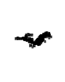 CCCCCCCCCCCCN(CCCCCCCCCCCC)CCNC(=O)CC[C@@H](C)[C@H]1CC[C@H]2[C@@H]3CCC4C[C@H](O[Si](C)(C)C(C)(C)C)CC[C@]4(C)[C@H]3CC[C@]12C